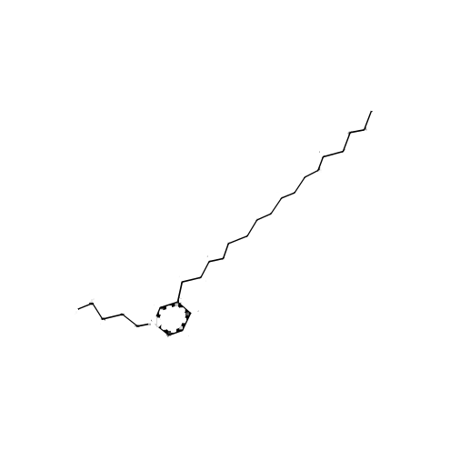 CCCCCCCCCCCCCCCCCc1ccc[n+](CCCCC)c1